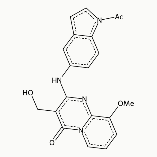 COc1cccn2c(=O)c(CO)c(Nc3ccc4c(ccn4C(C)=O)c3)nc12